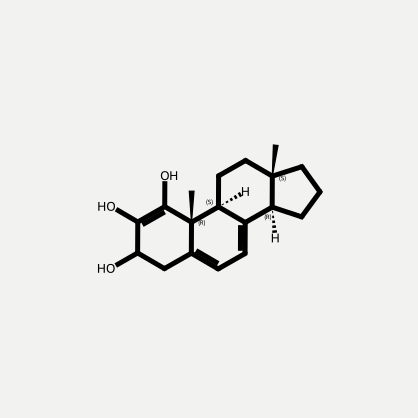 C[C@@]12CCC[C@H]1C1=CC=C3CC(O)C(O)=C(O)[C@]3(C)[C@H]1CC2